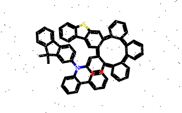 CC1(C)c2ccccc2-c2ccc(N(c3ccc4c5ccccc5c5ccccc5c5ccccc5c5cc6sc7ccccc7c6cc5c4c3)c3ccccc3-c3ccccc3)cc21